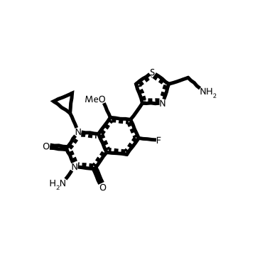 COc1c(-c2csc(CN)n2)c(F)cc2c(=O)n(N)c(=O)n(C3CC3)c12